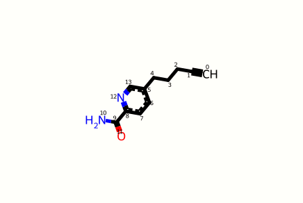 C#CCCCc1ccc(C(N)=O)nc1